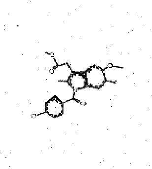 COC(=O)Cc1c(C)n(C(=O)c2ccc(Cl)cc2)c2cc(F)c(OC)cc12